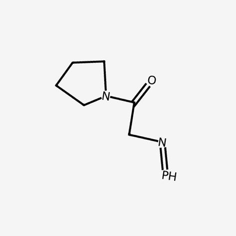 O=C(CN=P)N1CCCC1